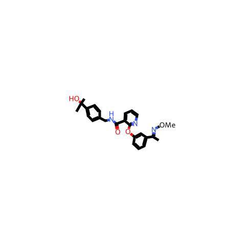 CON=C(C)c1cccc(Oc2ncccc2C(=O)NCc2ccc(C(C)(C)O)cc2)c1